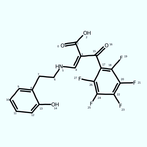 O=C(O)C(=CNCCc1ccccc1O)C(=O)c1c(F)c(F)c(F)c(F)c1F